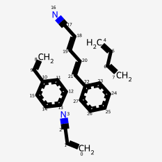 C=CC#N.C=CC=C.C=Cc1ccccc1.N#CC=CC=Cc1ccccc1